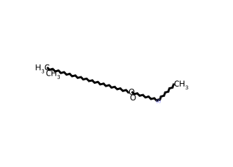 CCCCCCCC/C=C\CCCCCCCC(=O)OCCCCCCCCCCCCCCCCCCCCCCCCCCCCC(C)C